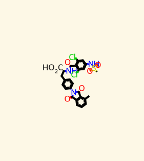 Cc1cccc2c1C(=O)N(c1ccc(C[C@H](NC(=O)c3c(Cl)cc(NS(C)(=O)=O)cc3Cl)C(=O)O)cc1)C2=O